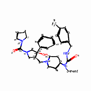 CCCCCN(C(=O)NCc1ccc(C(F)(F)F)cc1)C1CCN(C[C@H]2CN(C(=O)N3CCCC3)C[C@]2(O)c2ccccc2)CC1